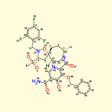 C[C@H]1CC[C@]2(CC(S(C)(=O)=O)N(Cc3c(F)cc(F)cc3F)O2)[C@H]2CN1C(=O)c1c(OCc3ccccc3)c(=O)c(C(N)=O)cn12